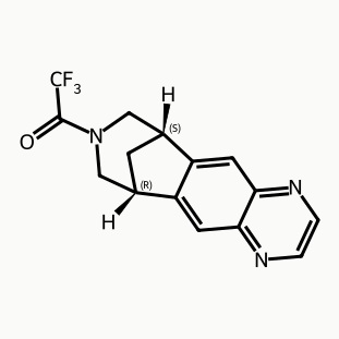 O=C(N1C[C@H]2C[C@@H](C1)c1cc3nccnc3cc12)C(F)(F)F